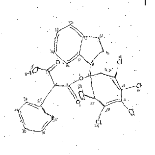 O=C(O)C(C(=O)OC1(C2CCc3ccccc32)C(Cl)=C(Cl)C(Cl)=C(Cl)C1Cl)c1ccccc1